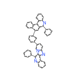 c1ccc(-c2nc3ccccc3c3c2cc(-c2cccc(-c4ccc5nc6c7ccccc7nc(-c7ccccc7)c6n5c4)c2)c2ccccc23)cc1